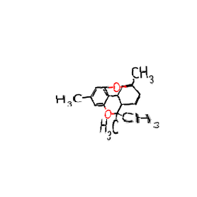 Cc1cc2c3c(c1)OC(C)(C)C1CCC(C)(CC31)O2